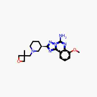 COc1cccc2c1nc(N)n1nc([C@@H]3CCCN(CC4(C)COC4)C3)nc21